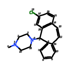 CN1CCN(C2c3ccccc3C=Cc3ccc(Cl)cc32)CC1